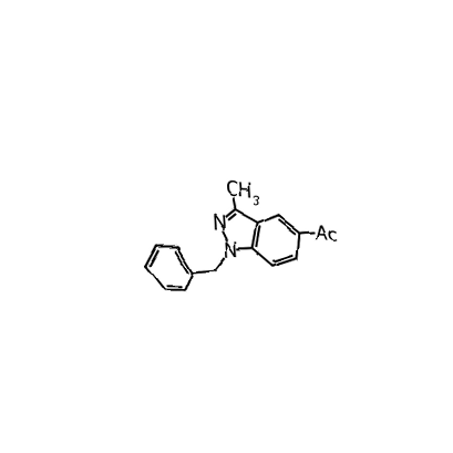 CC(=O)c1ccc2c(c1)c(C)nn2Cc1ccccc1